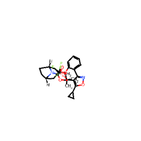 CC(C)(C)OC(=O)N1[C@@H]2CC[C@H]1C[C@@H](OCc1c(-c3ccccc3OC(F)(F)F)noc1C1CC1)C2